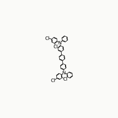 Clc1ccc(N(c2ccccc2)c2ccc(-c3ccc(-c4ccc(N(c5ccccc5)c5ccc(Cl)cc5Cl)cc4)cc3)cc2)c(Cl)c1